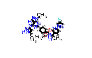 CCn1ncc2c(Nc3cc(C)[nH]n3)nc([C@H]3CC[C@@](OC)(C(=O)N[C@@H](C)c4ccc(-n5cc(F)cn5)nc4)CC3)nc21